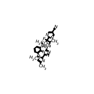 COc1cccc(OC)c1-n1c(NSC(C)C(C)(F)c2ncc(C#N)cn2)nnc1-c1nc(C)cs1